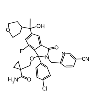 CC(O)(c1cc(F)c2c(c1)C(=O)N(Cc1ccc(C#N)cn1)C2(OCC1(C(N)=O)CC1)c1ccc(Cl)cc1)C1CCOCC1